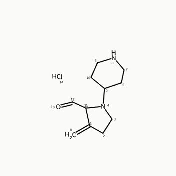 C=C1CCN(C2CCNCC2)C1C=O.Cl